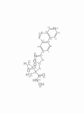 CC(CC1CC(c2ccc(-c3ccncc3F)c(F)c2)=NO1)(C(=O)NO)S(C)(=O)=O